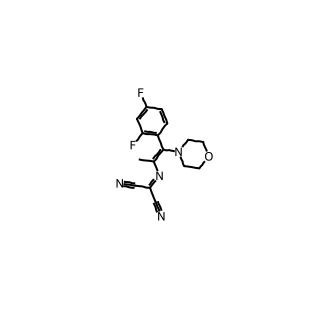 C/C(N=C(C#N)C#N)=C(\c1ccc(F)cc1F)N1CCOCC1